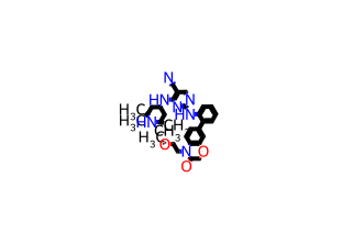 COCCN1C(=O)COc2cc(-c3ccccc3Nc3ncc(C#N)c(NC4CC(C)(C)NC(C)(C)C4)n3)ccc21